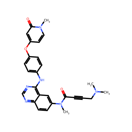 CN(C)CC#CC(=O)N(C)c1ccc2ncnc(Nc3ccc(Oc4ccn(C)c(=O)c4)cc3)c2c1